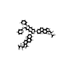 CC(=O)N[C@H](C)[C@H]1CCC2C3CC=C4C[C@@H](C(CCCCCOC5CCCCO5)OC(CCCCCOC5CCCCO5)[C@H]5CC[C@@]6(C)C(=CCC7C6CC[C@@]6(C)C7CC[C@@H]6[C@@H](C)NC(C)=O)C5)CC[C@]4(C)C3CC[C@@]21C